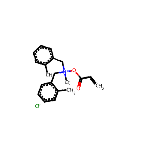 C=CC(=O)O[N+](CC)(Cc1ccccc1C)Cc1ccccc1C.[Cl-]